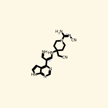 N#CCC1(N/C=C(\C=N)c2ncnc3[nH]ccc23)CCN(/C(N)=N\C#N)CC1